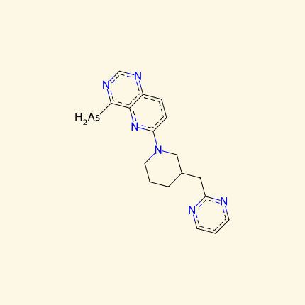 [AsH2]c1ncnc2ccc(N3CCCC(Cc4ncccn4)C3)nc12